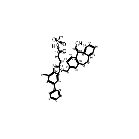 Cc1cc(-c2ccccc2)cc2c1nc(CCC(=O)NS(C)(=O)=O)n2Cc1ccc2c(c1)CCc1ccccc1C2=CC#N